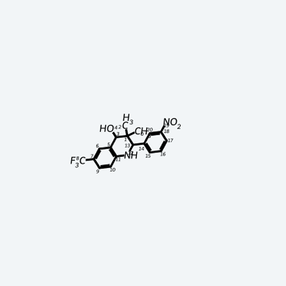 CC1(C)C(O)c2cc(C(F)(F)F)ccc2NC1c1cccc([N+](=O)[O-])c1